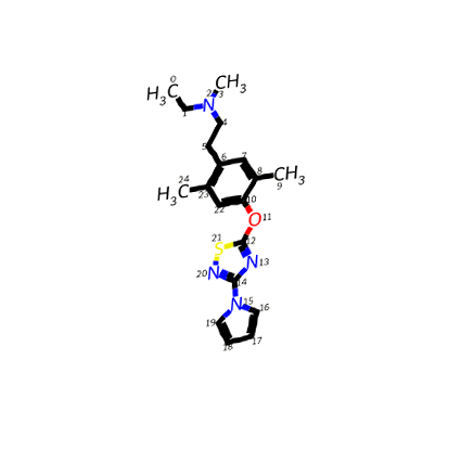 CCN(C)CCc1cc(C)c(Oc2nc(-n3cccc3)ns2)cc1C